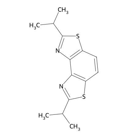 CC(C)c1nc2c(ccc3sc(C(C)C)nc32)s1